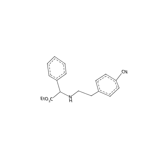 CCOC(=O)C(NCCc1ccc(C#N)cc1)c1ccccc1